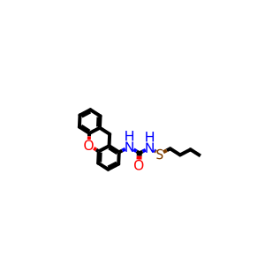 CCCCSNC(=O)Nc1cccc2c1Cc1ccccc1O2